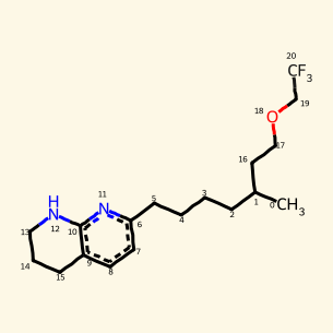 CC(CCCCc1ccc2c(n1)NCCC2)CCOCC(F)(F)F